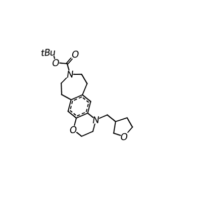 CC(C)(C)OC(=O)N1CCc2cc3c(cc2CC1)N(CC1CCOC1)CCO3